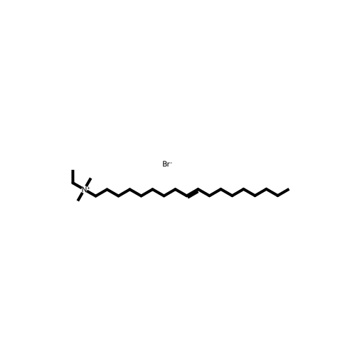 CCCCCCCCC=CCCCCCCCC[N+](C)(C)CC.[Br-]